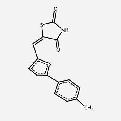 Cc1ccc(-c2ccc(C=C3SC(=O)NC3=O)s2)cc1